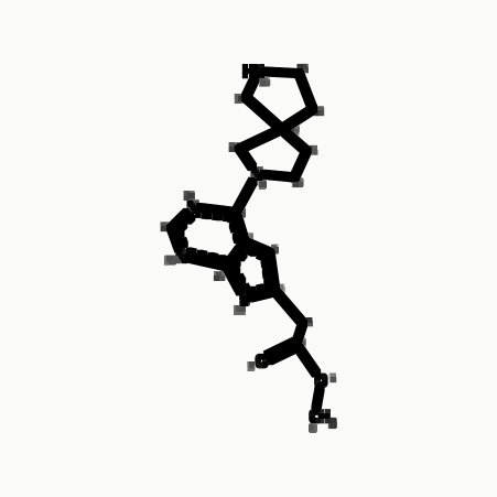 COC(=O)Cc1cc2c(N3CCC4(CCNC4)C3)ncnc2s1